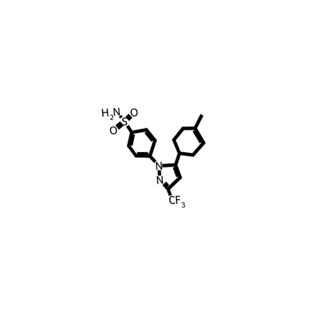 CC1=CCC(c2cc(C(F)(F)F)nn2-c2ccc(S(N)(=O)=O)cc2)CC1